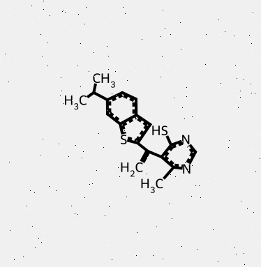 C=C(c1cc2ccc(C(C)C)cc2s1)c1c(C)ncnc1S